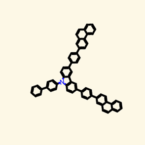 c1ccc(-c2ccc(-n3c4ccc(-c5ccc(-c6ccc7c(ccc8ccccc87)c6)cc5)cc4c4cc(-c5ccc(-c6ccc7c(ccc8ccccc87)c6)cc5)ccc43)cc2)cc1